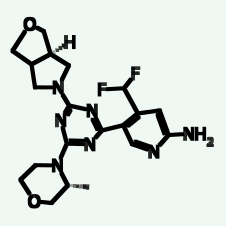 C[C@@H]1COCCN1c1nc(-c2cnc(N)cc2C(F)F)nc(N2CC3COC[C@H]3C2)n1